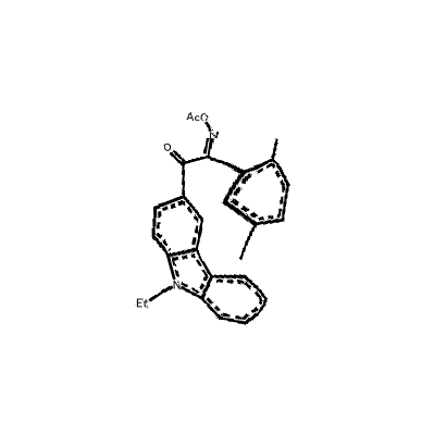 CCn1c2ccccc2c2cc(C(=O)/C(=N\OC(C)=O)c3cc(C)ccc3C)ccc21